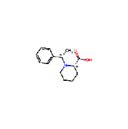 C[C@@H](c1ccccc1)N1CCCC[C@H]1C(=O)O